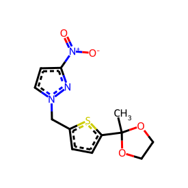 CC1(c2ccc(Cn3ccc([N+](=O)[O-])n3)s2)OCCO1